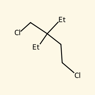 CCC(CC)(CCl)CCCl